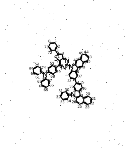 c1ccc(-c2cc3nc(-n4c5ccc(-c6ccc7c8c9ccccc9ccc8n(-c8ccccc8)c7c6)cc5c5cc6ccccc6cc54)nc(-c4ccc(N(c5ccccc5)c5ccccc5)cc4)c3s2)cc1